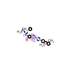 COC1(Cc2ccccc2C)CCC(N2CCN(/C(=N/C#N)NS(=O)(=O)c3ccc(N[C@H](CCN(C)C)CSc4ccccc4)c(N=O)c3)CC2)CC1